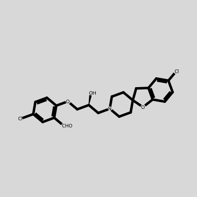 O=Cc1cc(Cl)ccc1OC[C@@H](O)CN1CCC2(CC1)Cc1cc(Cl)ccc1O2